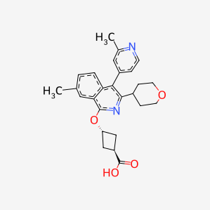 Cc1ccc2c(-c3ccnc(C)c3)c(C3CCOCC3)nc(O[C@H]3C[C@H](C(=O)O)C3)c2c1